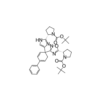 CC(C)(C)OC(=O)N1CCC[C@H]1c1nc(C2(c3noc([C@@H]4CCCN4C(=O)OC(C)(C)C)n3)C=CC(c3ccccc3)=CC2)c[nH]1